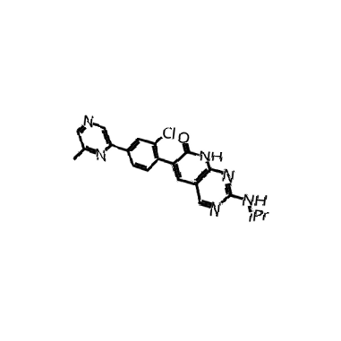 Cc1cncc(-c2ccc(-c3cc4cnc(NC(C)C)nc4[nH]c3=O)c(Cl)c2)n1